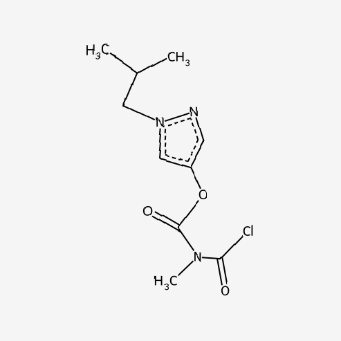 CC(C)Cn1cc(OC(=O)N(C)C(=O)Cl)cn1